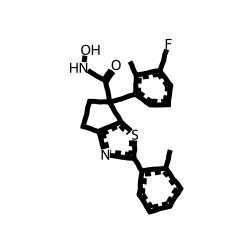 Cc1ccccc1-c1nc2c(s1)C(C(=O)NO)(c1cccc(F)c1C)CC2